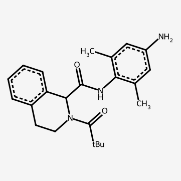 Cc1cc(N)cc(C)c1NC(=O)C1c2ccccc2CCN1C(=O)C(C)(C)C